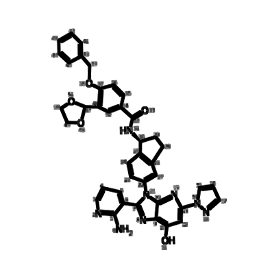 Nc1ncccc1-c1nc2c(O)cc(-n3cccn3)nc2n1-c1ccc2c(c1)CC[C@@H]2NC(=O)c1ccc(OCc2ccccc2)c(C2OCCO2)c1